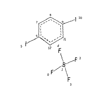 F[B-](F)(F)F.Ic1ccc(I)cc1